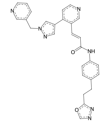 O=C(C=Cc1cnccc1-c1cnn(Cc2cccnc2)c1)Nc1ccc(CCc2nnco2)cc1